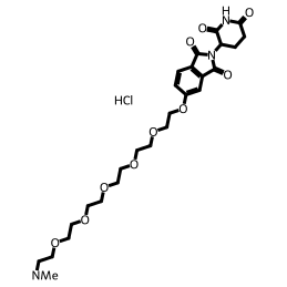 CNCCOCCOCCOCCOCCOCCOc1ccc2c(c1)C(=O)N(C1CCC(=O)NC1=O)C2=O.Cl